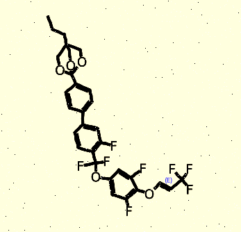 CCCC12COC(c3ccc(-c4ccc(C(F)(F)Oc5cc(F)c(O/C=C/C(F)(F)F)c(F)c5)c(F)c4)cc3)(OC1)OC2